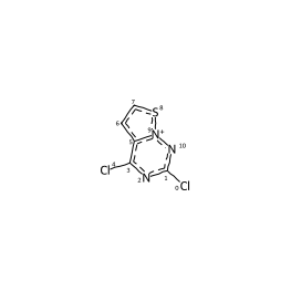 Clc1nc(Cl)c2ccs[n+]2n1